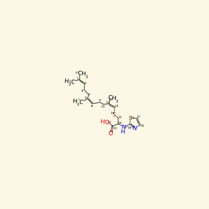 CC(C)=CCCC(C)=CCCC(C)=CSCC(Nc1nccs1)C(=O)O